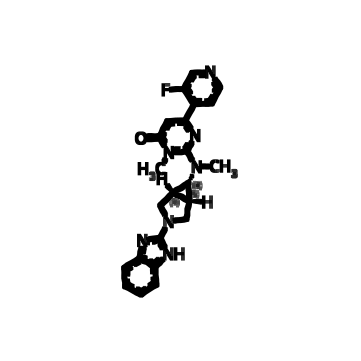 CN(c1nc(-c2ccncc2F)cc(=O)n1C)[C@@H]1[C@@H]2CN(c3nc4ccccc4[nH]3)C[C@@H]21